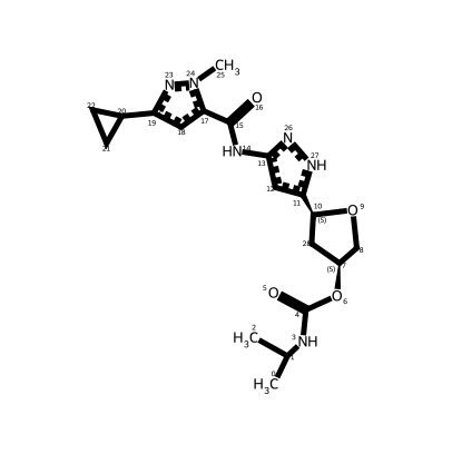 CC(C)NC(=O)O[C@@H]1CO[C@H](c2cc(NC(=O)c3cc(C4CC4)nn3C)n[nH]2)C1